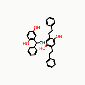 CC(c1ccccc1)c1cc(O)ccc1O.Oc1cc(CCc2ccccc2)c(O)cc1CCc1ccccc1